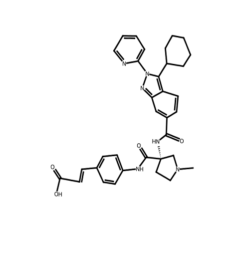 CN1CC[C@@](NC(=O)c2ccc3c(C4CCCCC4)n(-c4ccccn4)nc3c2)(C(=O)Nc2ccc(C=CC(=O)O)cc2)C1